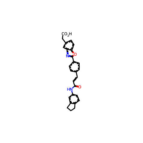 O=C(O)Cc1ccc2oc(-c3ccc(C=CC(=O)Nc4ccc5c(c4)CCC5)cc3)nc2c1